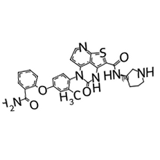 Cc1cc(Oc2ccccc2C(N)=O)ccc1N1C(=O)Nc2c(C(=O)N[C@@H]3CCCNC3)sc3nccc1c23